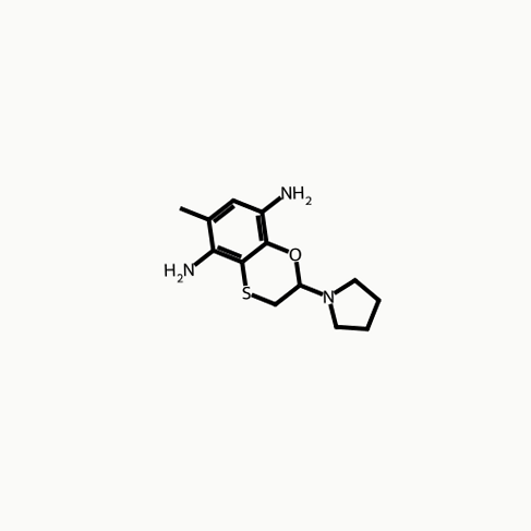 Cc1cc(N)c2c(c1N)SCC(N1CCCC1)O2